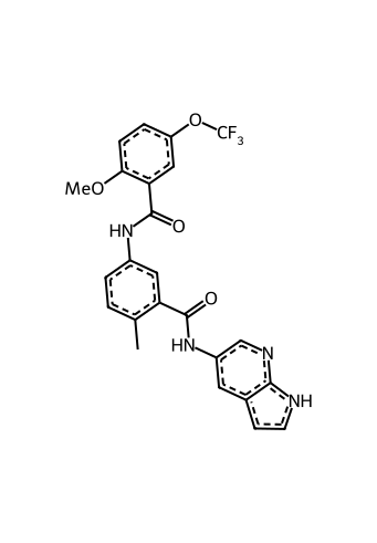 COc1ccc(OC(F)(F)F)cc1C(=O)Nc1ccc(C)c(C(=O)Nc2cnc3[nH]ccc3c2)c1